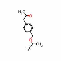 CC(=O)Cc1ccc(COC(C)C)cc1